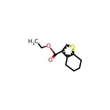 CCOC(=O)c1[c]sc2c1CCCC2